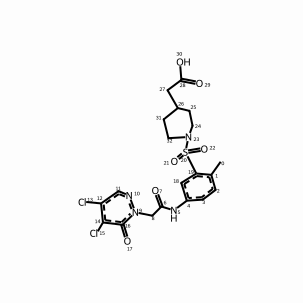 Cc1ccc(NC(=O)Cn2ncc(Cl)c(Cl)c2=O)cc1S(=O)(=O)N1CCC(CC(=O)O)CC1